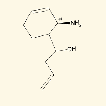 C=CCC(O)C1CCC=C[C@H]1N